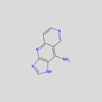 Nc1c2cnccc2nc2nc[nH]c12